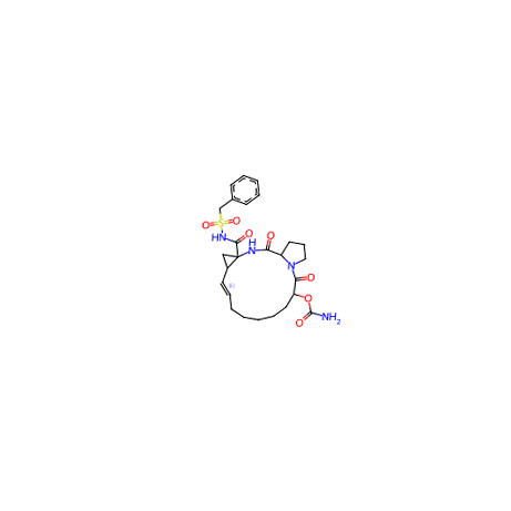 NC(=O)OC1CCCCC/C=C/C2CC2(C(=O)NS(=O)(=O)Cc2ccccc2)NC(=O)C2CCCN2C1=O